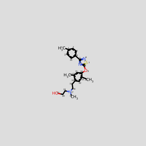 Cc1ccc(-c2nsc(Oc3cc(C)c(CCN(C)CCO)cc3C)n2)cc1